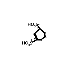 O=S(=O)(O)C1=CC(S(=O)(=O)O)CCC1